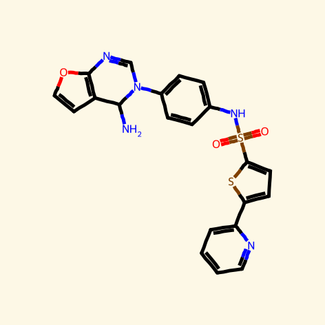 NC1c2ccoc2N=CN1c1ccc(NS(=O)(=O)c2ccc(-c3ccccn3)s2)cc1